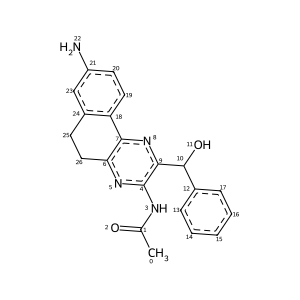 CC(=O)Nc1nc2c(nc1C(O)c1ccccc1)-c1ccc(N)cc1CC2